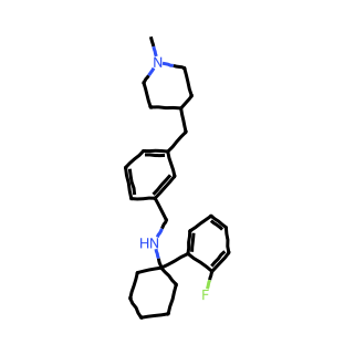 CN1CCC(Cc2cccc(CNC3(c4ccccc4F)CCCCC3)c2)CC1